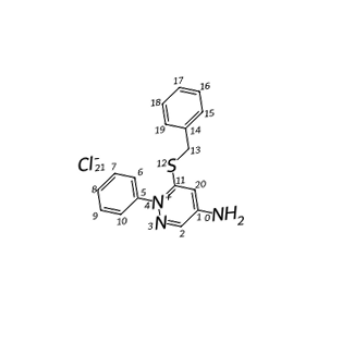 Nc1cn[n+](-c2ccccc2)c(SCc2ccccc2)c1.[Cl-]